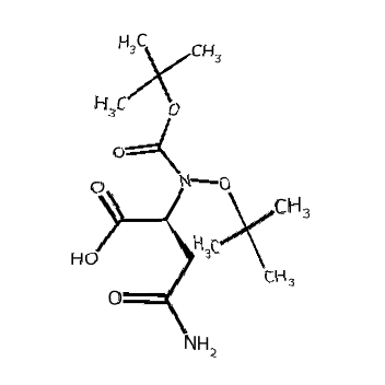 CC(C)(C)OC(=O)N(OC(C)(C)C)[C@@H](CC(N)=O)C(=O)O